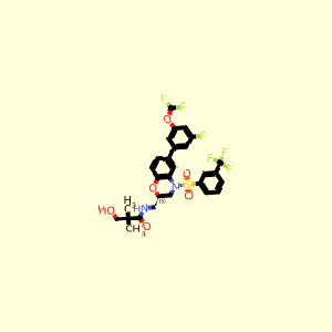 CC(C)(CO)C(=O)NC[C@H]1CN(S(=O)(=O)c2cccc(C(F)(F)F)c2)c2cc(-c3cc(F)cc(OC(F)F)c3)ccc2O1